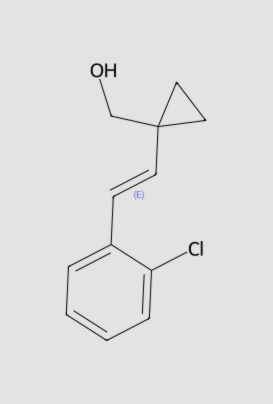 OCC1(/C=C/c2ccccc2Cl)CC1